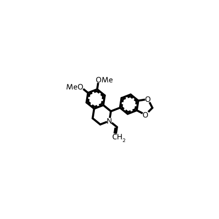 C=CN1CCc2cc(OC)c(OC)cc2C1c1ccc2c(c1)OCO2